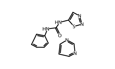 O=C(Nc1ccccc1)Nc1cnns1.c1cncnc1